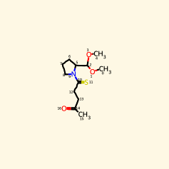 COC(OC)C1CCCN1C(=S)CCC(C)=O